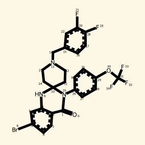 O=C1c2ccc(Br)cc2NC2(CCN(Cc3ccc(F)c(F)c3)CC2)N1c1ccc(OC(F)(F)F)cc1